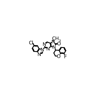 Cn1c(=O)n(C2CCOc3c(F)cccc32)c2nc(-n3cnc4ccc(Cl)cc43)ncc21